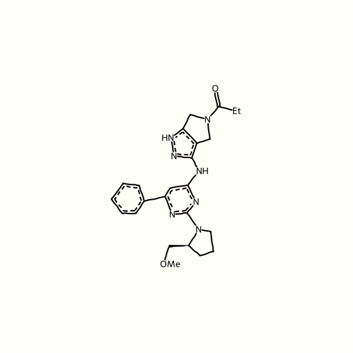 CCC(=O)N1Cc2[nH]nc(Nc3cc(-c4ccccc4)nc(N4CCC[C@H]4COC)n3)c2C1